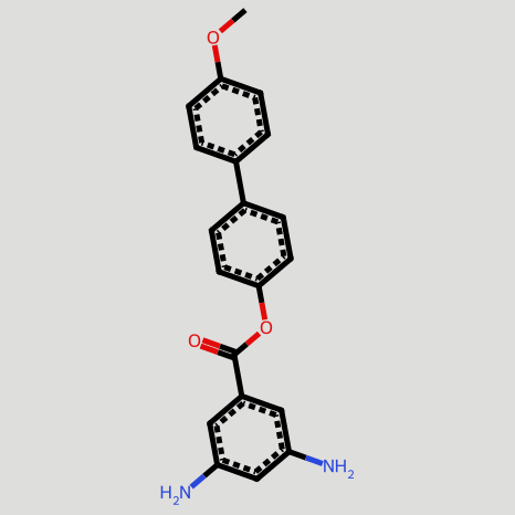 COc1ccc(-c2ccc(OC(=O)c3cc(N)cc(N)c3)cc2)cc1